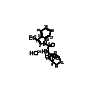 CCc1cn(C(=O)NC2CC3CCC(C2)N3C)c2ccccc12.Cl